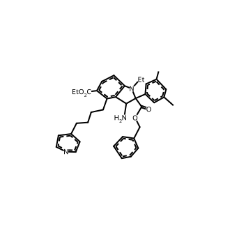 CCOC(=O)c1ccc2c(c1CCCCc1ccncc1)C(N)C(C(=O)OCc1ccccc1)(c1cc(C)cc(C)c1)N2CC